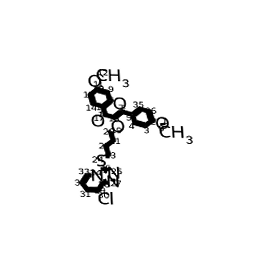 COc1ccc(-c2oc3cc(OC)ccc3c(=O)c2OCCCCSc2nnc3c(Cl)cccn23)cc1